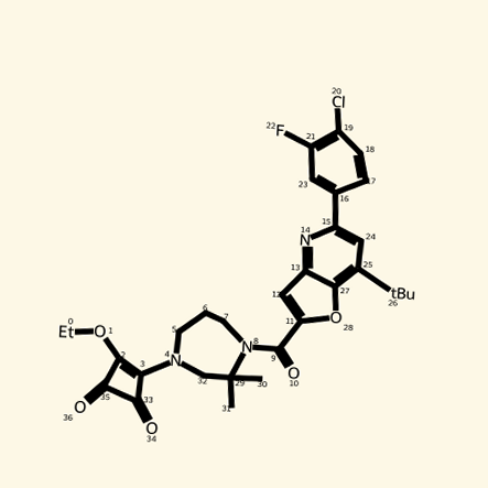 CCOc1c(N2CCCN(C(=O)c3cc4nc(-c5ccc(Cl)c(F)c5)cc(C(C)(C)C)c4o3)C(C)(C)C2)c(=O)c1=O